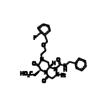 CCN1CC(=O)N2[C@@H](CC(=O)O)C(=O)N(CCOCc3ccccc3F)C[C@@H]2N1C(=O)NCc1ccccc1